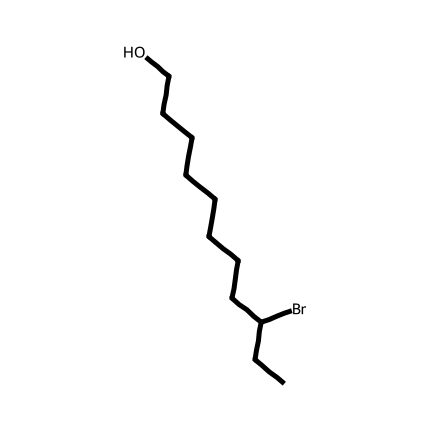 CCC(Br)CCCCCCCCO